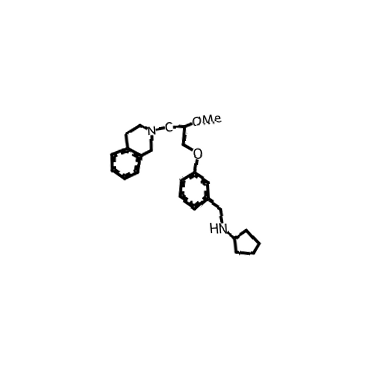 COC(COc1cccc(CNC2CCCC2)c1)CN1CCc2ccccc2C1